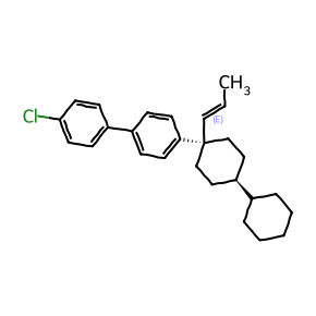 C/C=C/[C@]1(c2ccc(-c3ccc(Cl)cc3)cc2)CC[C@H](C2CCCCC2)CC1